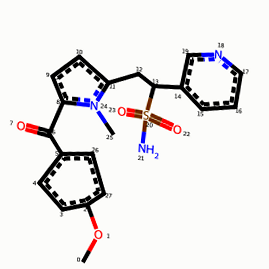 COc1ccc(C(=O)c2ccc(CC(c3cccnc3)S(N)(=O)=O)n2C)cc1